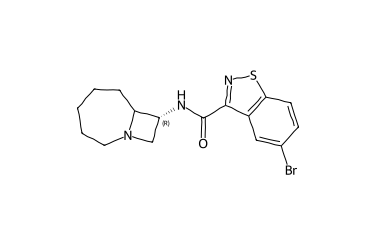 O=C(N[C@@H]1CN2CCCCCC12)c1nsc2ccc(Br)cc12